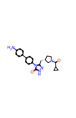 Nc1ccc(-c2ccc(-n3c(C[C@@H]4CCN(C(=O)C5CC5)C4)n[nH]c3=O)cc2)cc1